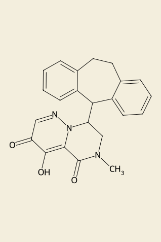 CN1CC(C2c3ccccc3CCc3ccccc32)n2ncc(=O)c(O)c2C1=O